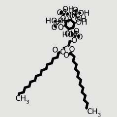 CCCCCCCCCCCCCCCC(=O)OC[C@H](COP(=O)(O)O[C@H]1[C@H](O)[C@@H](OP(=O)(O)O)[C@H](OP(=O)(O)O)[C@@H](OP(=O)(O)O)[C@H]1O)OC(=O)CCCCCCCCCCCCCCC